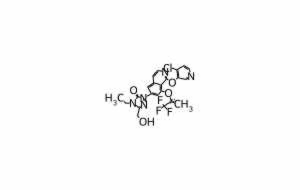 CCn1c(CO)nn(-c2cc(O[C@@H](C)C(F)(F)F)c3c(Oc4cnccc4Cl)nccc3c2)c1=O